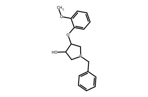 COc1ccccc1OC1CN(Cc2ccccc2)CC1O